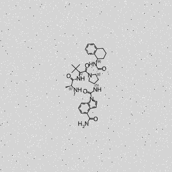 CN[C@@H](C)C(=O)N[C@H](C(=O)N1C[C@@H](NC(=O)n2ccc3c(C(N)=O)cccc32)C[C@H]1C(=O)N[C@@H]1CCCc2ccccc21)C(C)(C)C